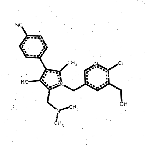 Cc1c(-c2ccc(C#N)cc2)c(C#N)c(CN(C)C)n1Cc1cnc(Cl)c(CO)c1